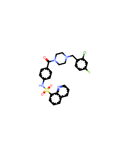 O=C(c1ccc(NS(=O)(=O)c2cccc3cccnc23)cc1)N1CCN(Cc2ccc(F)cc2Cl)CC1